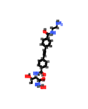 C[C@@H](O)[C@H](NC(=O)c1ccc(C#Cc2ccc(C(=O)NCCN)cc2)cc1)C(=O)NO